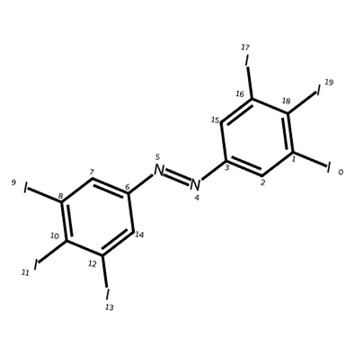 Ic1cc(/N=N/c2cc(I)c(I)c(I)c2)cc(I)c1I